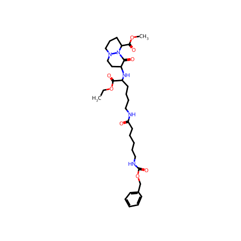 CCOC(=O)C(CCCCNC(=O)CCCCCNC(=O)OCc1ccccc1)NC1CCN2CCCC(C(=O)OC)N2C1=O